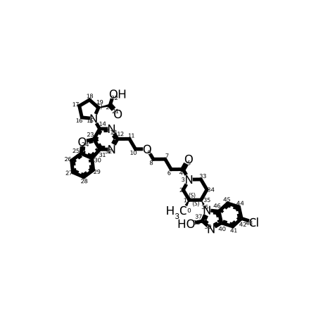 C[C@H]1CN(C(=O)CCCOCCc2nc(N3CCC[C@H]3C(=O)O)c3oc4ccccc4c3n2)CC[C@@H]1n1c(O)nc2cc(Cl)ccc21